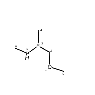 COCP(C)PC